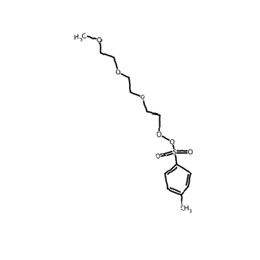 COCCOCCOCCOOS(=O)(=O)c1ccc(C)cc1